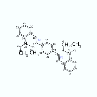 CCN(CC)c1ccccc1/C=C/c1ccc(/C=C/c2ccccc2N(CC)CC)cc1